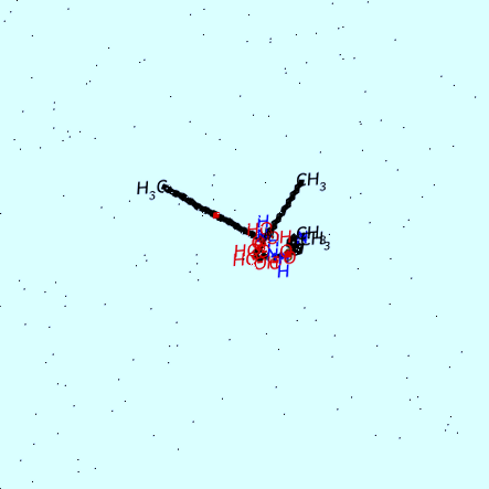 CC#CC#CC#CC#CC#CC#CC#CC#CC#CC#CC#CC#CC(=O)N[C@@H](COC1OC(CNC(=O)CNS(=O)(=O)c2cccc3c(N(C)C)cccc23)C(O)C(O)C1O)[C@H](O)[C@H](O)CCCCCCCCCCCCCC